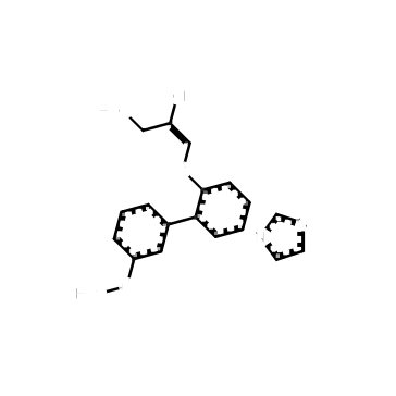 CCC(C)=CBc1ccccc1-c1cccc(OC)c1.c1c[nH]cn1